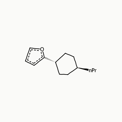 CCC[C@H]1CC[C@H](c2ccco2)CC1